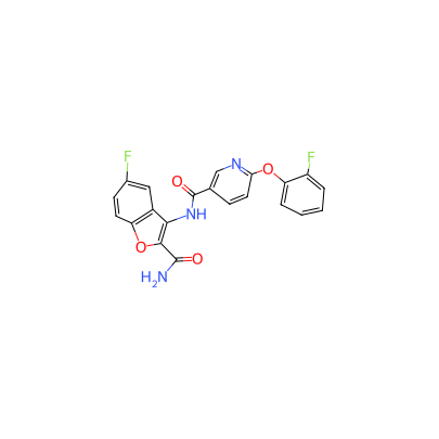 NC(=O)c1oc2ccc(F)cc2c1NC(=O)c1ccc(Oc2ccccc2F)nc1